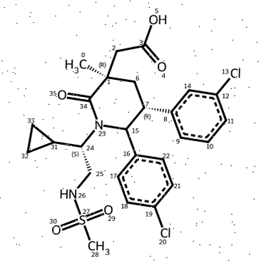 C[C@]1(CC(=O)O)C[C@H](c2cccc(Cl)c2)C(c2ccc(Cl)cc2)N([C@H](CNS(C)(=O)=O)C2CC2)C1=O